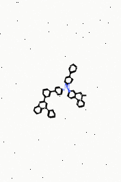 Cc1cc2cc(N(c3ccc(-c4ccccc4)cc3)c3ccc(-c4cccc(-c5cc(-c6ccccc6)c6ccccc6c5)c4)cc3)ccc2c2ccccc12